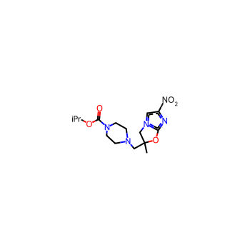 CC(C)OC(=O)N1CCN(CC2(C)Cn3cc([N+](=O)[O-])nc3O2)CC1